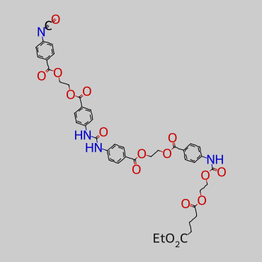 CCOC(=O)CCCC(=O)OCCOC(=O)Nc1ccc(C(=O)OCCOC(=O)c2ccc(NC(=O)Nc3ccc(C(=O)OCCOC(=O)c4ccc(N=C=O)cc4)cc3)cc2)cc1